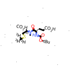 [2H]C([2H])([2H])SC[C@@H](C(=O)O)N(C)C(=O)[C@H](CCC(=O)O)NC(=O)OC(C)(C)C